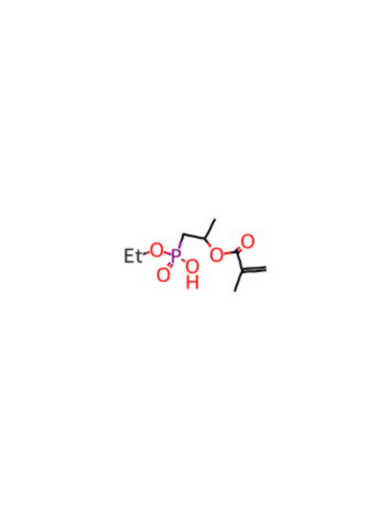 C=C(C)C(=O)OC(C)CP(=O)(O)OCC